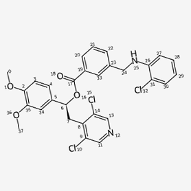 COc1ccc([C@H](Cc2c(Cl)cncc2Cl)OC(=O)c2cccc(CNc3ccccc3Cl)c2)cc1OC